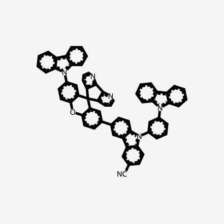 N#Cc1ccc2c(c1)c1cc(-c3ccc4c(c3)C3(c5cc(-n6c7ccccc7c7ccccc76)ccc5O4)c4cccnc4-c4ncccc43)ccc1n2-c1cccc(-n2c3ccccc3c3ccccc32)c1